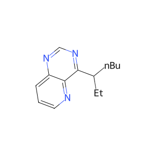 CCCCC(CC)c1ncnc2cccnc12